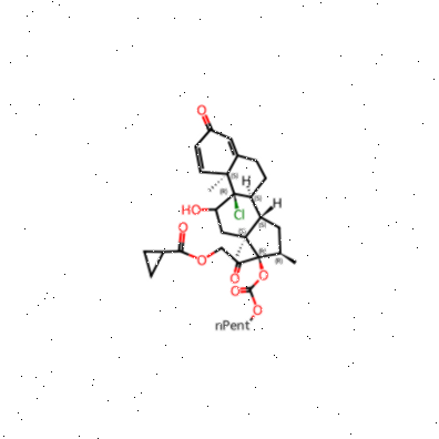 CCCCCOC(=O)O[C@]1(C(=O)COC(=O)C2CC2)[C@H](C)C[C@H]2[C@@H]3CCC4=CC(=O)C=C[C@]4(C)[C@@]3(Cl)C(O)C[C@@]21C